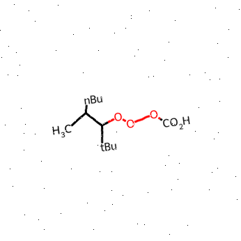 CCCCC(C)C(OOOC(=O)O)C(C)(C)C